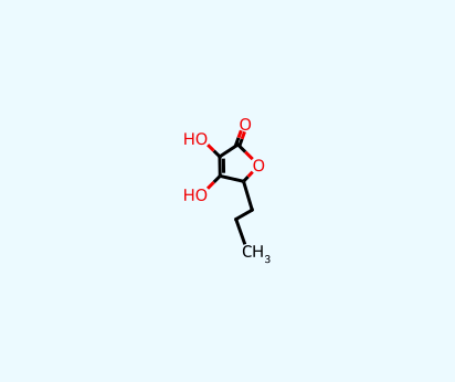 CCCC1OC(=O)C(O)=C1O